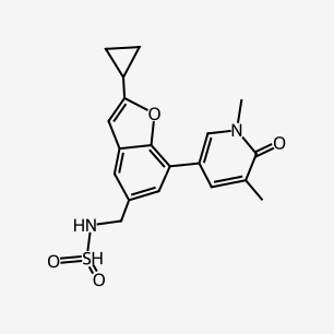 Cc1cc(-c2cc(CN[SH](=O)=O)cc3cc(C4CC4)oc23)cn(C)c1=O